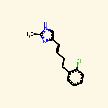 Cc1nc(C=CCCc2ccccc2Cl)c[nH]1